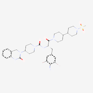 CS(=O)(=O)N1CCC(C2CCN(C(=O)[C@@H](Cc3cc(Br)c(N)c(Br)c3)NC(=O)N3CCC(N4Cc5ccccc5NC4=O)CC3)CC2)CC1